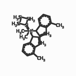 CC1=Cc2c(C)cccc2[CH]1[Hf]([CH3])([CH3])([CH]1C(C)=Cc2c(C)cccc21)=[Si]1[SiH2][SiH2][SiH2]1